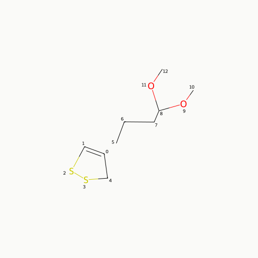 C1=CSSC1.CCCC(OC)OC